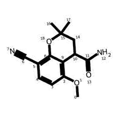 COc1ccc(C#N)c2c1C(C(N)=O)CC(C)(C)O2